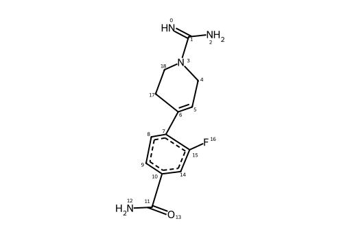 N=C(N)N1CC=C(c2ccc(C(N)=O)cc2F)CC1